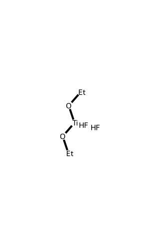 CC[O][Ti][O]CC.F.F